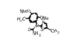 COc1cc(OC)c(N(C(N)=O)c2ncc(C)s2)cc1C